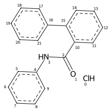 Cl.O=C(Nc1ccccc1)c1ccccc1-c1ccccc1